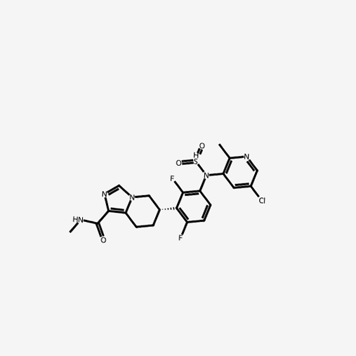 CNC(=O)c1ncn2c1CC[C@@H](c1c(F)ccc(N(c3cc(Cl)cnc3C)[SH](=O)=O)c1F)C2